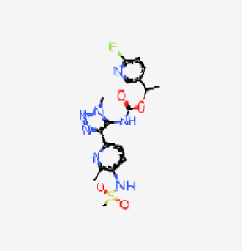 Cc1nc(-c2nnn(C)c2NC(=O)OC(C)c2ccc(F)nc2)ccc1NS(C)(=O)=O